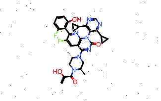 C=C(O)C(=O)N1C[C@H](C)N(c2nc(=O)n(-c3c(C4CC4)ncnc3C3CC3)c3nc(-c4c(O)cccc4F)c(F)cc23)C[C@H]1C